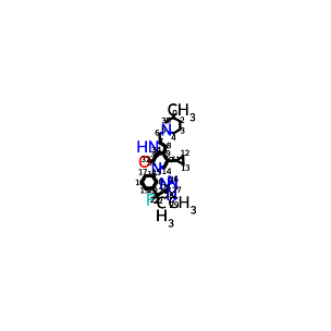 C[C@H]1CCCN(Cc2cc3c(C4CC4)cn(-c4cccc(C(C)(F)c5nncn5C)c4)c(=O)c3[nH]2)C1